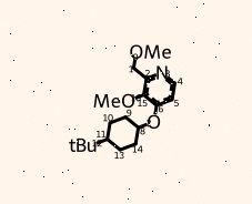 COCc1nccc(OC2CCC(C(C)(C)C)CC2)c1OC